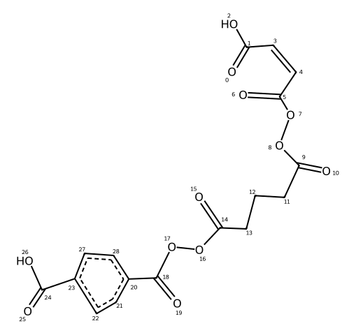 O=C(O)/C=C\C(=O)OOC(=O)CCCC(=O)OOC(=O)c1ccc(C(=O)O)cc1